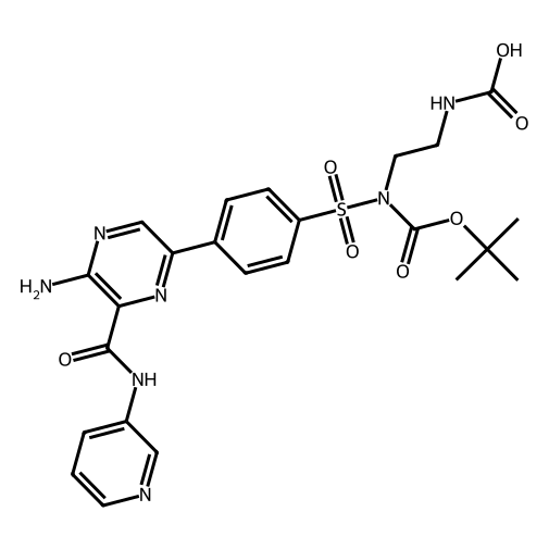 CC(C)(C)OC(=O)N(CCNC(=O)O)S(=O)(=O)c1ccc(-c2cnc(N)c(C(=O)Nc3cccnc3)n2)cc1